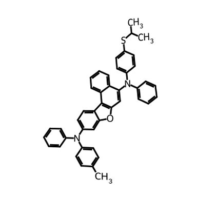 Cc1ccc(N(c2ccccc2)c2ccc3c(c2)oc2cc(N(c4ccccc4)c4ccc(SC(C)C)cc4)c4ccccc4c23)cc1